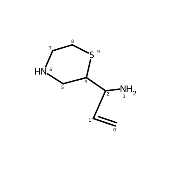 C=CC(N)C1CNCCS1